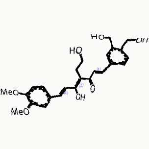 COc1ccc(/C=C/C(O)=C(\CCO)C(=O)/C=C/c2ccc(CO)c(CO)c2)cc1OC